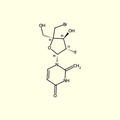 C=C1NC(=O)C=CN1[C@@H]1O[C@@](CO)(CBr)[C@@H](O)[C@@H]1F